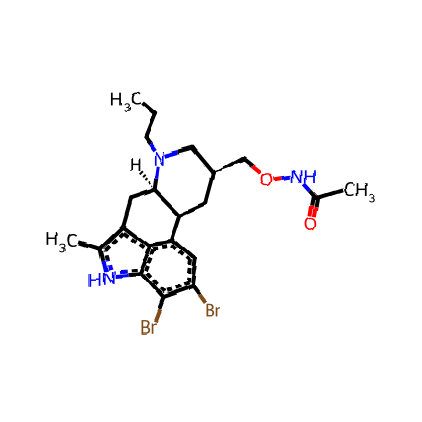 CCCN1C[C@@H](CONC(C)=O)CC2c3cc(Br)c(Br)c4[nH]c(C)c(c34)C[C@H]21